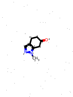 Cn1ncc2c1CC(=O)CC2